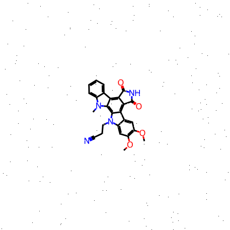 COc1cc2c3c4c(c5c6ccccc6n(C)c5c3n(CCC#N)c2cc1OC)C(=O)NC4=O